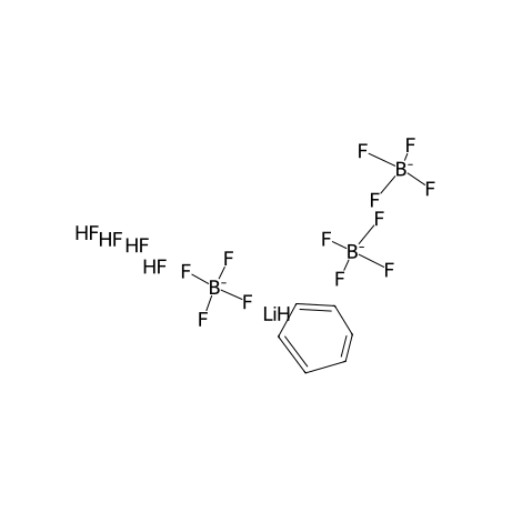 F.F.F.F.F[B-](F)(F)F.F[B-](F)(F)F.F[B-](F)(F)F.[LiH].c1ccccc1